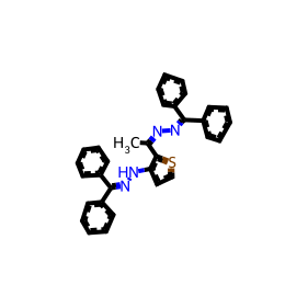 CC(=NN=C(c1ccccc1)c1ccccc1)c1sccc1NN=C(c1ccccc1)c1ccccc1